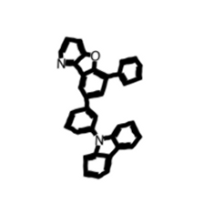 c1ccc(-c2cc(-c3cccc(-n4c5ccccc5c5ccccc54)c3)cc3c2oc2cccnc23)cc1